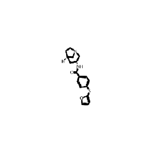 O=C(N[C@@H]1C[C@H]2CCN(C2)C1)c1ccc(Sc2ccco2)cc1